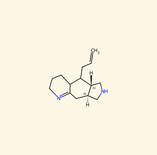 C=CCC1C2CCCN=C2C[C@@H]2CNC[C@@H]12